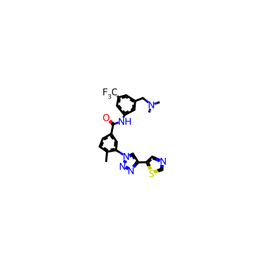 Cc1ccc(C(=O)Nc2cc(CN(C)C)cc(C(F)(F)F)c2)cc1-n1cc(-c2cncs2)nn1